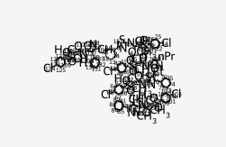 CC(C)(C(=O)Nc1nc(C2CCCCC2)cs1)S(=O)(=O)c1ccc(Cl)cc1.CCCc1cc(NC(=O)C(C)(C)S(=O)(=O)c2ccc(Cl)cc2)on1.CCc1sc(NC(=O)C(C)(C)S(=O)(=O)c2ccc(Cl)cc2)nc1-c1ccccc1.Cc1c(-c2ccccc2)nn(C)c1NC(=O)C(C)(C)S(=O)(=O)c1ccc(Cl)cc1.Cc1noc(NC(=O)C(C)(C)S(=O)(=O)c2ccc(Cl)cc2)c1-c1ccccc1